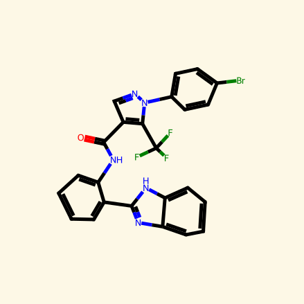 O=C(Nc1ccccc1-c1nc2ccccc2[nH]1)c1cnn(-c2ccc(Br)cc2)c1C(F)(F)F